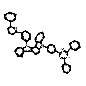 c1ccc(-c2cccc(-c3cccc(-n4c5ccccc5c5ccc6c(c7ccccc7n6-c6ccc(-c7nc(-c8ccccc8)nc(-c8ccccc8)n7)cc6)c54)c3)n2)cc1